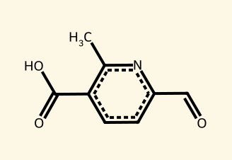 Cc1nc(C=O)ccc1C(=O)O